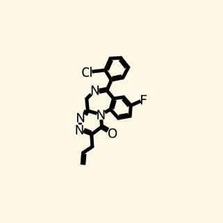 C=CCc1nnc2n(c1=O)-c1ccc(F)cc1C(c1ccccc1Cl)=NC2